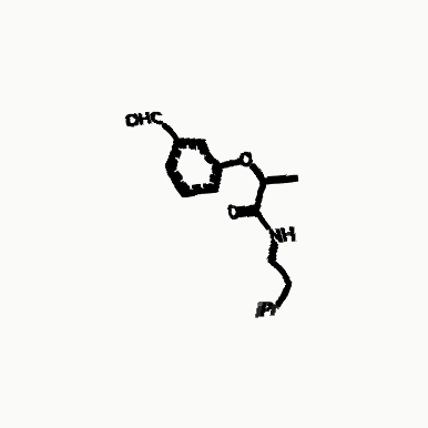 CC(C)CCNC(=O)C(C)Oc1cccc(C=O)c1